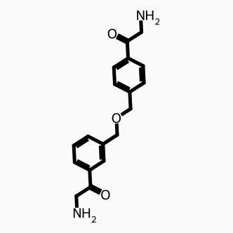 NCC(=O)c1ccc(COCc2cccc(C(=O)CN)c2)cc1